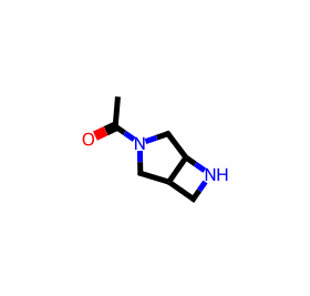 CC(=O)N1CC2CNC2C1